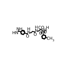 Cc1cccc(S(=O)(=O)N[C@@H](CNC(=O)CCNC(=O)c2ccc(C(=N)N)cc2)C(=O)O)c1